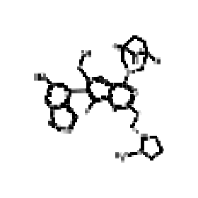 CN1CCC[C@H]1COc1nc(N2C[C@H]3CC[C@@H](C2)N3)c2cc(CO)c(-c3cc(O)cc4ccccc34)c(F)c2n1